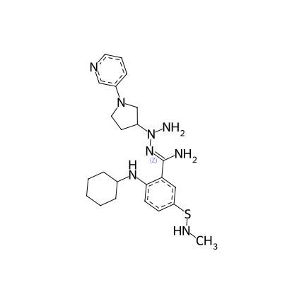 CNSc1ccc(NC2CCCCC2)c(/C(N)=N/N(N)C2CCN(c3cccnc3)C2)c1